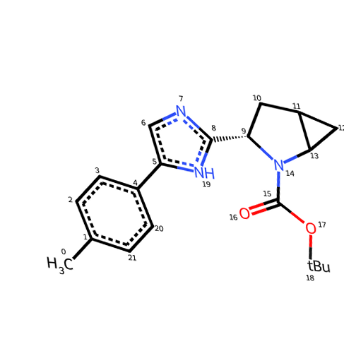 Cc1ccc(-c2cnc([C@@H]3CC4CC4N3C(=O)OC(C)(C)C)[nH]2)cc1